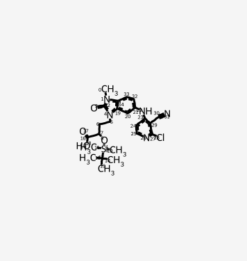 Cn1c(=O)n(CCC(O[Si](C)(C)C(C)(C)C)C(=O)O)c2cc(Nc3ccnc(Cl)c3C#N)ccc21